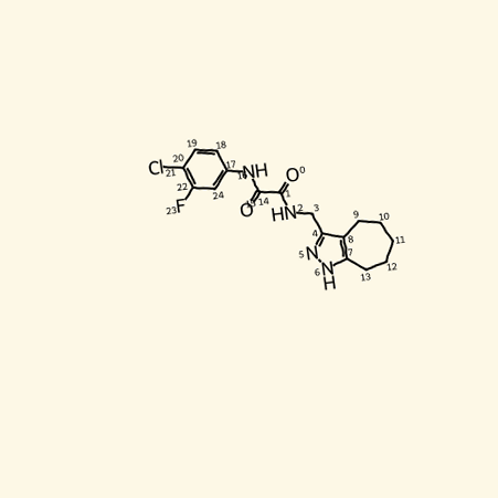 O=C(NCc1n[nH]c2c1CCCCC2)C(=O)Nc1ccc(Cl)c(F)c1